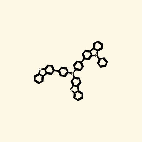 c1ccc(-n2c3ccccc3c3ccc(-c4ccc(N(c5ccc(-c6ccc7oc8ccccc8c7c6)cc5)c5ccc6c(c5)sc5ccccc56)cc4)cc32)cc1